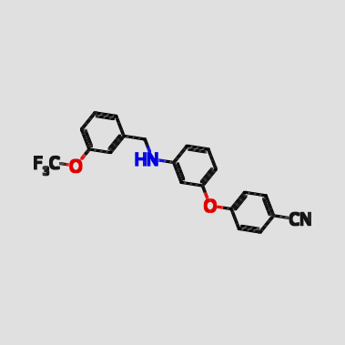 N#Cc1ccc(Oc2cccc(NCc3cccc(OC(F)(F)F)c3)c2)cc1